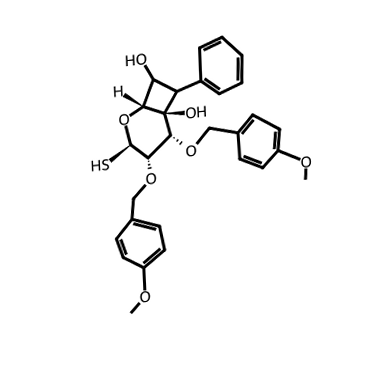 COc1ccc(CO[C@H]2[C@@H](OCc3ccc(OC)cc3)[C@@]3(O)C(c4ccccc4)C(O)[C@H]3O[C@@H]2S)cc1